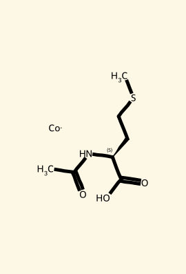 CSCC[C@H](NC(C)=O)C(=O)O.[Co]